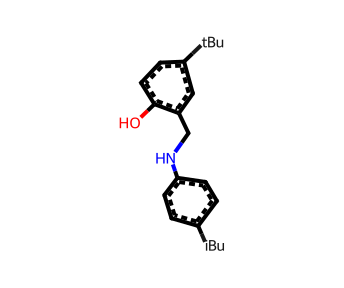 CCC(C)c1ccc(NCc2cc(C(C)(C)C)ccc2O)cc1